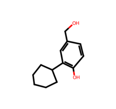 OCc1ccc(O)c(C2CCCCC2)c1